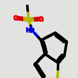 CS(=O)(=O)Nc1cccc2sccc12